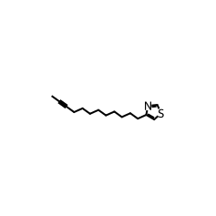 CC#CCCCCCCCCCc1cscn1